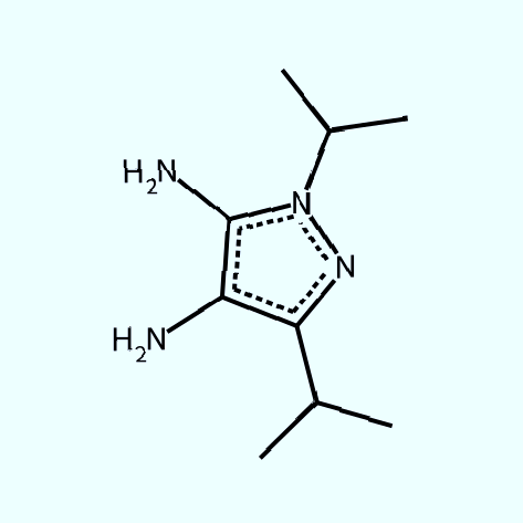 CC(C)c1nn(C(C)C)c(N)c1N